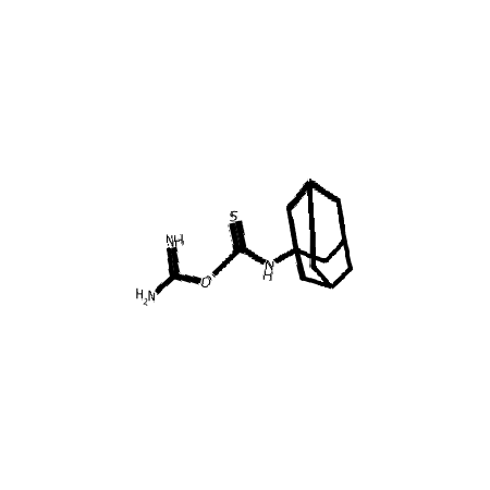 N=C(N)OC(=S)NC12CC3CC(CC(C3)C1)C2